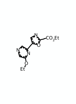 CCOC(=O)c1ncc(-c2cncc(OCC)n2)o1